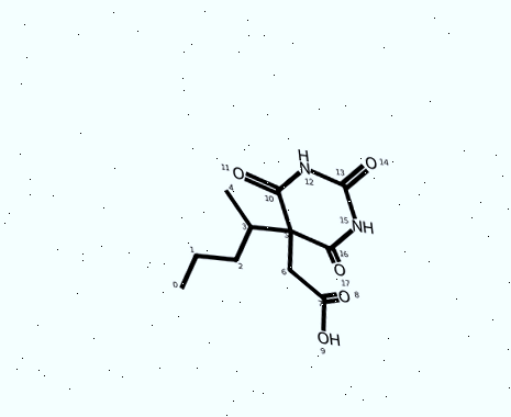 CCCC(C)C1(CC(=O)O)C(=O)NC(=O)NC1=O